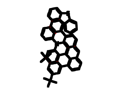 CC(C)(C)c1cc(-c2cccc3cccc(-c4ccccc4N(c4cccc(-c5cccc6sc7ccccc7c56)c4)c4ccccc4-c4ccccc4)c23)cc(C(C)(C)C)c1